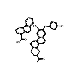 CC(=O)C1CCc2ccc3c(ccc4cc(Cc5ccc(Cl)cc5)c(O)cc43)c2C1.O=C(O)c1ccnc2c1ccc1ccncc12